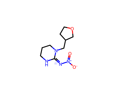 O=[N+]([O-])/N=C1/NCCCN1CC1CCOC1